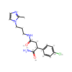 Cc1nccn1CCCNC(=O)CC(C(N)=O)c1ccc(Cl)cc1